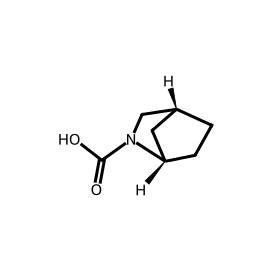 O=C(O)N1C[C@@H]2CC[C@H]1C2